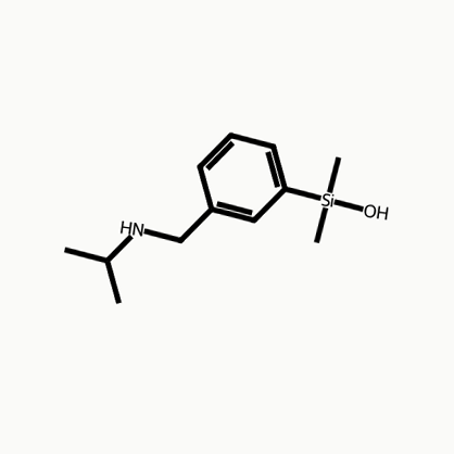 CC(C)NCc1cccc([Si](C)(C)O)c1